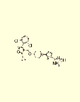 N/C(=N\O)c1ccc(N2CCC(OCc3c(-c4c(Cl)cccc4Cl)noc3C3CC3)CC2)s1